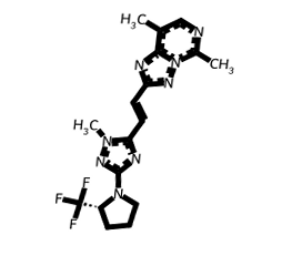 Cc1cnc(C)n2nc(/C=C/c3nc(N4CCC[C@@H]4C(F)(F)F)nn3C)nc12